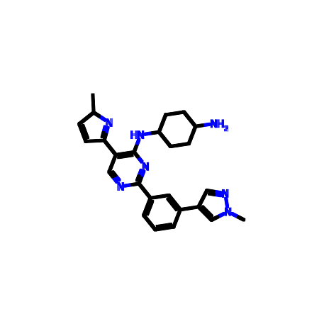 CC1C=CC(c2cnc(-c3cccc(-c4cnn(C)c4)c3)nc2NC2CCC(N)CC2)=N1